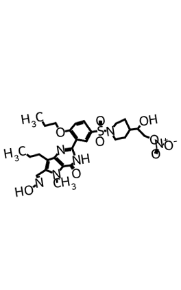 CCCOc1ccc(S(=O)(=O)N2CCC(C(O)CO[N+](=O)[O-])CC2)cc1-c1nc2c(CCC)c(C=NO)n(C)c2c(=O)[nH]1